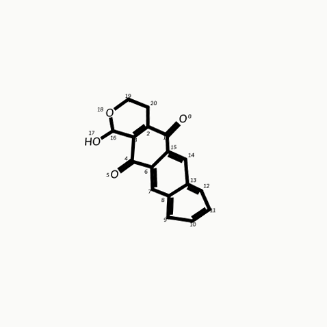 O=C1C2=C(C(=O)c3cc4ccccc4cc31)C(O)O[C]C2